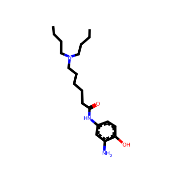 CCCCN(CCCC)CCCCCC(=O)Nc1ccc(O)c(N)c1